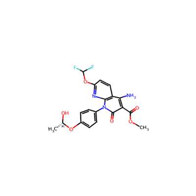 COC(=O)c1c(N)c2ccc(OC(F)F)nc2n(-c2ccc(O[C@H](C)O)cc2)c1=O